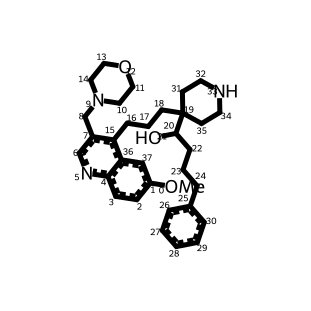 COc1ccc2ncc(CN3CCOCC3)c(CCCC3(C(O)CCCc4ccccc4)CCNCC3)c2c1